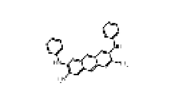 Nc1cc2cc3cc(N)c(Nc4ccccc4)cc3cc2cc1Nc1ccccc1